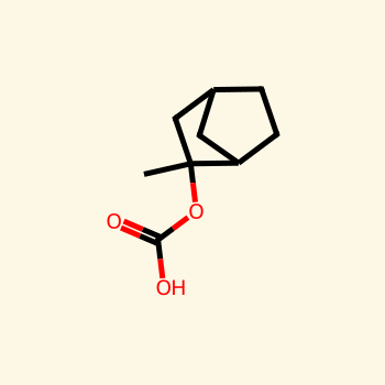 CC1(OC(=O)O)CC2CCC1C2